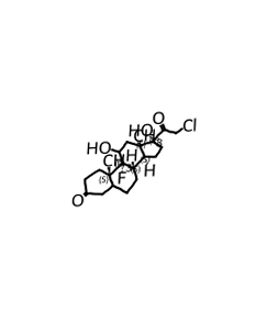 C[C@]12CCC(=O)CC1CC[C@H]1[C@@H]3CC[C@](O)(C(=O)CCl)[C@@]3(C)CC(O)[C@@]12F